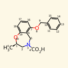 C[C@@H]1CN(C(=O)O)Cc2c(OCc3ccccc3)cccc2O1